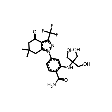 CC1(C)CC(=O)c2c(C(F)(F)F)nn(-c3ccc(C(N)=O)c(NC(CO)(CO)CO)c3)c2C1